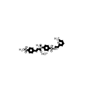 Cc1cccc(CCNS(=O)(=O)c2ccc(N(C)C(=O)C=Cc3ccc(S(C)(=O)=O)cc3)cc2)n1.Cl